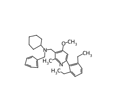 CCc1cccc(CC)c1-c1cc(OC)c(CN(Cc2ccccc2)C2CCCCC2)c(C)n1